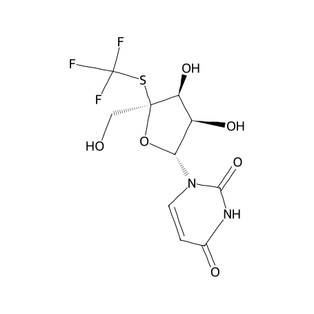 O=c1ccn([C@@H]2O[C@@](CO)(SC(F)(F)F)[C@@H](O)[C@H]2O)c(=O)[nH]1